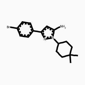 CC1(C)CCC(n2nc(-c3ccc(Br)cc3)cc2N)CC1